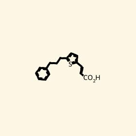 O=C(O)C=Cc1ccc(CCCc2ccccc2)s1